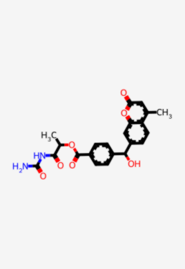 Cc1cc(=O)oc2cc(C(O)c3ccc(C(=O)OC(C)C(=O)NC(N)=O)cc3)ccc12